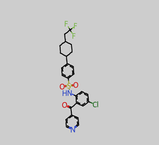 O=C(c1ccncc1)c1cc(Cl)ccc1NS(=O)(=O)c1ccc(C2CCC(CC(F)(F)F)CC2)cc1